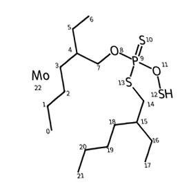 CCCCC(CC)COP(=S)(OS)SCC(CC)CCCC.[Mo]